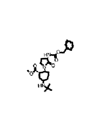 COC(=O)[C@@H]1CC(NC(C)(C)C)CC[C@@H]1N1CC[C@H](NC(=O)OCc2ccccc2)C1=O